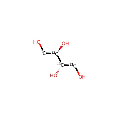 O[13CH2][13C@@H](O)[13C@@H](O)[13CH2]O